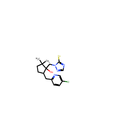 CC1(C)CCC(Cc2ccc(Cl)cn2)C1(O)Cn1ncnc1S